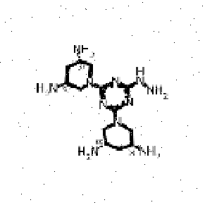 NNc1nc(N2C[C@@H](N)C[C@H](N)C2)nc(N2C[C@@H](N)C[C@H](N)C2)n1